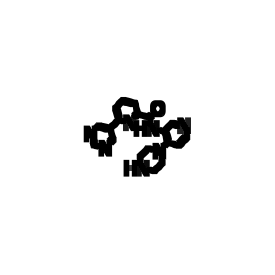 O=C(Nc1cnccc1N1CCNCC1)c1cccc(-c2cncnc2)n1